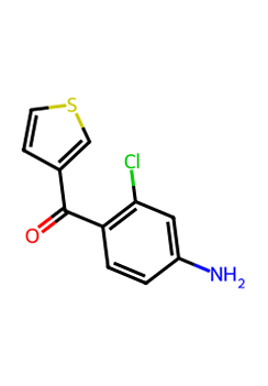 Nc1ccc(C(=O)c2ccsc2)c(Cl)c1